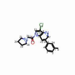 Cc1cccc(-c2cnc3c(Cl)cn(C(=O)CN4CCCC4)c3c2)c1